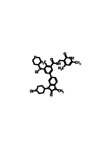 CCN1CCC(n2c(=O)n(C)c3ccc(-c4cc(C(=O)NCc5c(C)cc(C)[nH]c5=O)c(C)c(N(CC)C5CCOCC5)c4)cc32)CC1